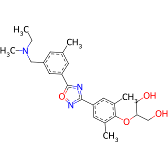 CCN(C)Cc1cc(C)cc(-c2nc(-c3cc(C)c(OC(CO)CO)c(C)c3)no2)c1